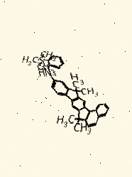 CC1(C)c2cc(Nc3ccccc3[Si](C)(C)C)ccc2-c2cc3c(cc21)-c1c(ccc2ccccc12)C3(C)C